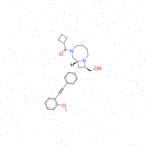 COc1ccccc1C#Cc1ccc([C@H]2[C@H](CO)N3CCCCN(C(=O)C4CCC4)C[C@@H]23)cc1